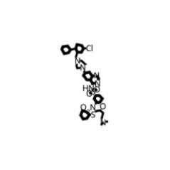 CN(C)CCC(CSc1ccccc1)Oc1ccc(S(=O)(=O)Nc2ncnc3cc(N4CCN(Cc5cc(Cl)ccc5-c5ccccc5)CC4)ccc23)cc1[N+](=O)[O-]